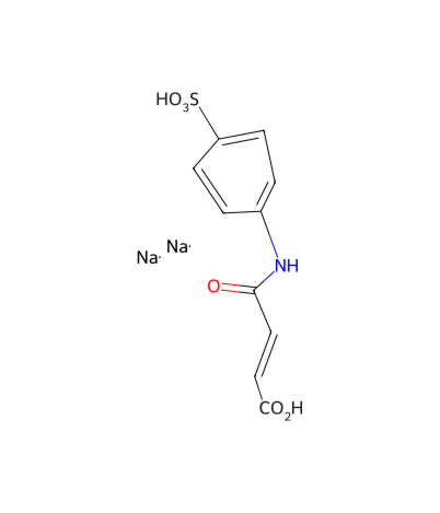 O=C(O)C=CC(=O)Nc1ccc(S(=O)(=O)O)cc1.[Na].[Na]